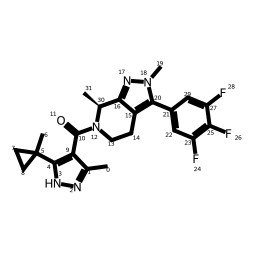 Cc1n[nH]c(C2(C)CC2)c1C(=O)N1CCc2c(nn(C)c2-c2cc(F)c(F)c(F)c2)[C@@H]1C